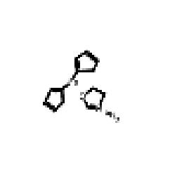 C1=CC[C]([Fe][C]2=CC=CC2)=C1.C1=NCCO1.P